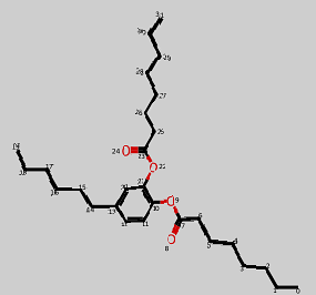 CCCCCCCC(=O)Oc1ccc(CCCCCC)cc1OC(=O)CCCCCCC